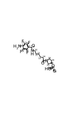 Nc1c(F)c(F)c(C(=O)NCCCCCC(=O)N2CC[C@@H](O[PH](=O)O)C2)c(F)c1F